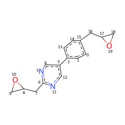 c1cc(-c2cnc(CC3CO3)nc2)ccc1CC1CO1